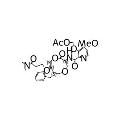 COc1ccnc(C(=O)N[C@H]2COC[C@H](Cc3ccccc3)[C@@H](OCCC(=O)N(C)C)[C@H](C)OC2=O)c1OCOC(C)=O